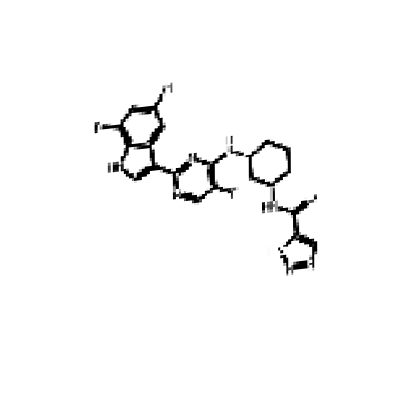 O=C(N[C@@H]1CCC[C@H](Nc2nc(-c3c[nH]c4c(F)cc(Cl)cc34)ncc2F)C1)c1cnn[nH]1